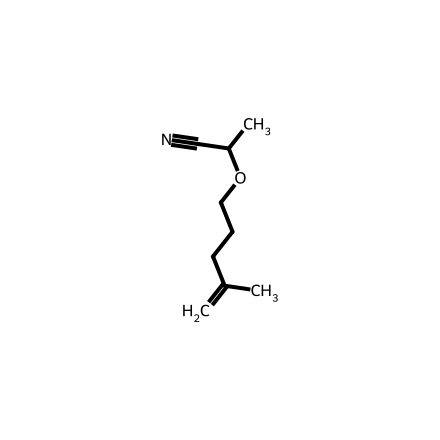 C=C(C)CCCOC(C)C#N